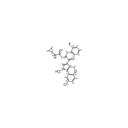 Cn1nc(C(=O)N(CC(=O)NC2CC2)Cc2ccccc2F)c2c1-c1cc(Cl)ccc1OC2